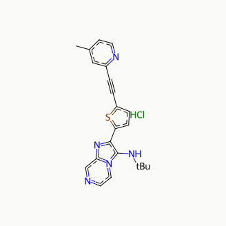 Cc1ccnc(C#Cc2ccc(-c3nc4cnccn4c3NC(C)(C)C)s2)c1.Cl